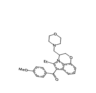 CCc1c(C(=O)c2ccc(OC)cc2)c2cccc3c2n1C(CN1CCOCC1)CO3